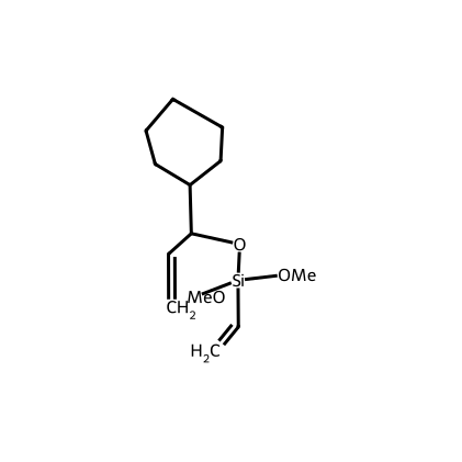 C=CC(O[Si](C=C)(OC)OC)C1CCCCC1